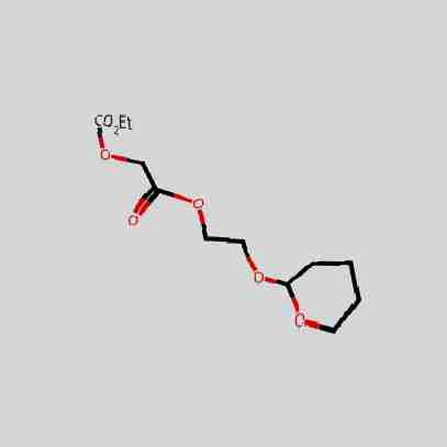 CCOC(=O)OCC(=O)OCCOC1CCCCO1